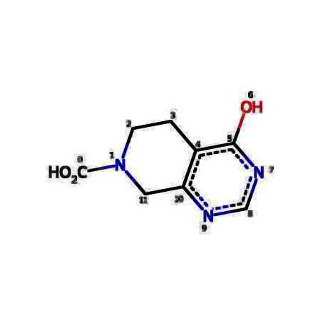 O=C(O)N1CCc2c(O)ncnc2C1